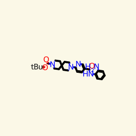 CC(C)(C)OC(=O)N1CCC2(CC1)CCN(c1ccc(C(=O)Nc3ccccc3N)cn1)CC2